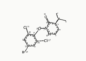 CC(C)c1ccnn(Oc2c(Cl)cc(Br)cc2Cl)c1=O